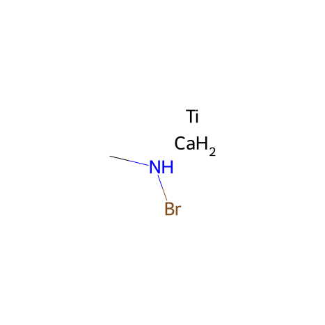 CNBr.[CaH2].[Ti]